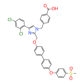 CS(=O)(=O)c1ccc(Oc2ccc(-c3ccc(OCc4nc(-c5ccc(Cl)cc5Cl)cn4Cc4ccc(C(=O)O)cc4)cc3)cc2)cc1